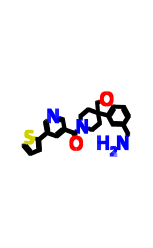 NCc1ccc2c(c1)C1(CCN(C(=O)c3cncc(-c4cccs4)c3)CC1)CO2